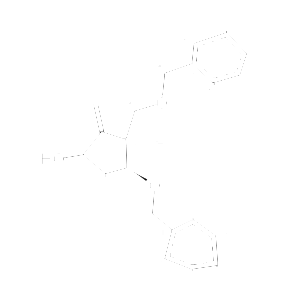 C=C1C(O)C[C@H](OCc2ccccc2)[C@]1(F)COCc1ccccc1